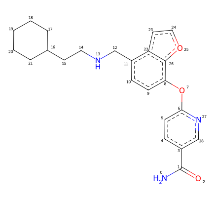 NC(=O)c1ccc(Oc2ccc(CNCCC3CCCCC3)c3ccoc23)nc1